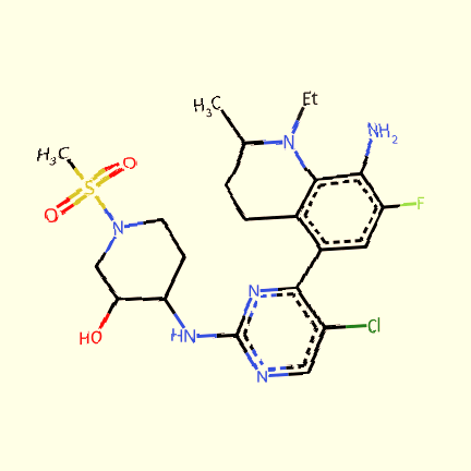 CCN1c2c(N)c(F)cc(-c3nc(NC4CCN(S(C)(=O)=O)CC4O)ncc3Cl)c2CCC1C